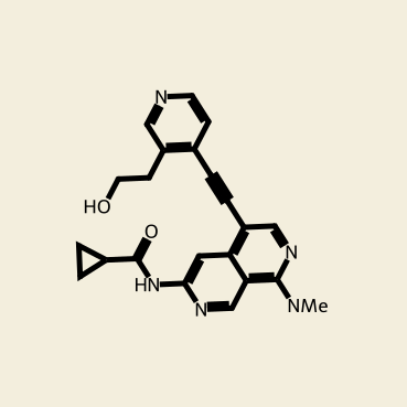 CNc1ncc(C#Cc2ccncc2CCO)c2cc(NC(=O)C3CC3)ncc12